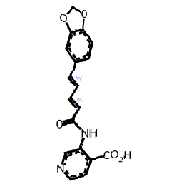 O=C(/C=C/C=C/c1ccc2c(c1)OCO2)Nc1cnccc1C(=O)O